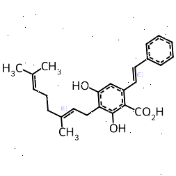 CC(C)=CCC/C(C)=C/Cc1c(O)cc(/C=C/c2ccccc2)c(C(=O)O)c1O